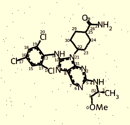 COC[C@H](C)Nc1ncc2nc(Nc3c(Cl)cc(Cl)cc3Cl)n(C3CCC(C(N)=O)CC3)c2n1